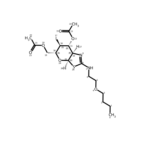 CCCCOCCNC1=N[C@@H]2[C@@H](OC(C)=O)[C@H](I)[C@@H](COC(C)=O)O[C@@H]2S1